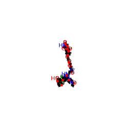 C=CC(=O)N1CCN(c2nc(NCCC(=O)N(C)CCOCCOCCOc3ccc4c(c3)CN(C3CCC(=O)NC3=O)C4=O)nc3c(F)c(-c4cc(O)cc5ccccc45)c(Cl)cc23)CC1